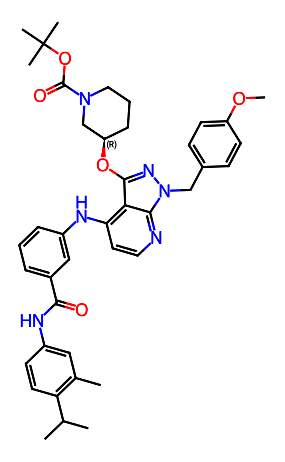 COc1ccc(Cn2nc(O[C@@H]3CCCN(C(=O)OC(C)(C)C)C3)c3c(Nc4cccc(C(=O)Nc5ccc(C(C)C)c(C)c5)c4)ccnc32)cc1